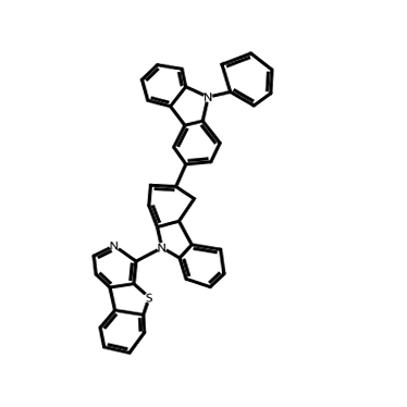 C1=C(c2ccc3c(c2)c2ccccc2n3-c2ccccc2)CC2C(=C1)N(c1nccc3c1sc1ccccc13)c1ccccc12